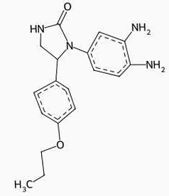 CCCOc1ccc(C2CNC(=O)N2c2ccc(N)c(N)c2)cc1